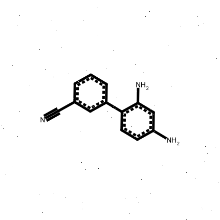 N#Cc1cccc(-c2ccc(N)cc2N)c1